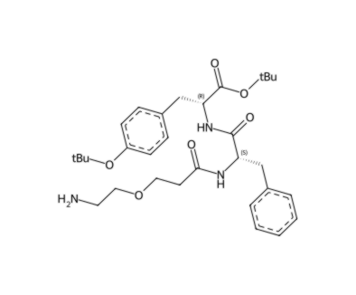 CC(C)(C)OC(=O)[C@@H](Cc1ccc(OC(C)(C)C)cc1)NC(=O)[C@H](Cc1ccccc1)NC(=O)CCOCCN